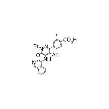 CCn1nc(-c2ccc(C(=O)O)c(C)c2)c(C(C)=O)c(Nc2cncc3ccccc23)c1=O